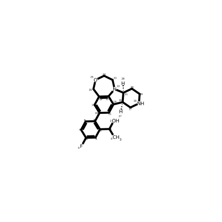 CC(O)c1cc(F)ccc1-c1cc2c3c(c1)[C@@H]1CNCC[C@@H]1N3CCOC2